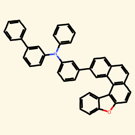 c1ccc(-c2cccc(N(c3ccccc3)c3cccc(-c4ccc5ccc6ccc7oc8ccccc8c7c6c5c4)c3)c2)cc1